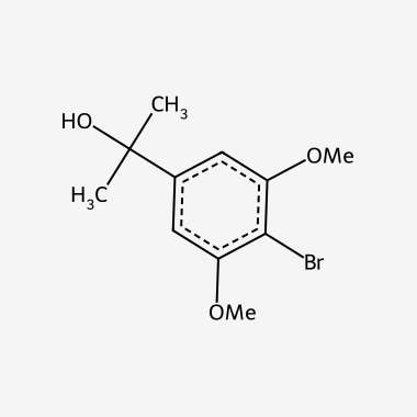 COc1cc(C(C)(C)O)cc(OC)c1Br